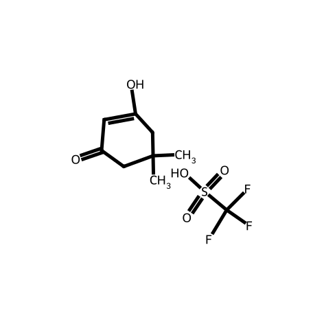 CC1(C)CC(=O)C=C(O)C1.O=S(=O)(O)C(F)(F)F